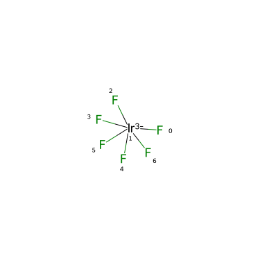 [F][Ir-3]([F])([F])([F])([F])[F]